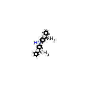 CC(c1ccccc1)c1ccc(Nc2ccc([C@@H](C)c3ccccc3)cc2)cc1